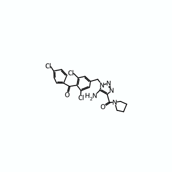 Nc1c(C(=O)N2CCCC2)nnn1Cc1cc(Cl)c(C(=O)c2ccc(Cl)cc2)c(Cl)c1